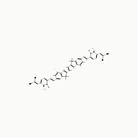 CC1(C)c2cc3cc(-c4ccc(C=C(C#N)C#N)c5nsnc45)sc3c(F)c2-c2sc3c4c(sc3c21)-c1c(cc2cc(-c3ccc(C=C(C#N)C#N)c5nsnc35)sc2c1F)C4(C)C